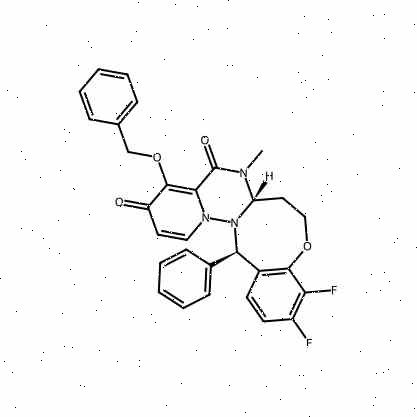 CN1C(=O)c2c(OCc3ccccc3)c(=O)ccn2N2[C@H](c3ccccc3)c3ccc(F)c(F)c3OCC[C@@H]12